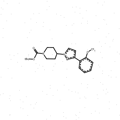 CC(C)(C)OC(=O)N1CCC(n2ccc(-c3ccccc3OC(F)(F)F)n2)CC1